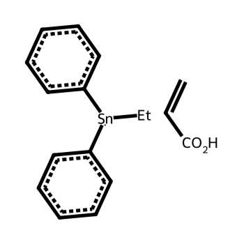 C=CC(=O)O.C[CH2][Sn]([c]1ccccc1)[c]1ccccc1